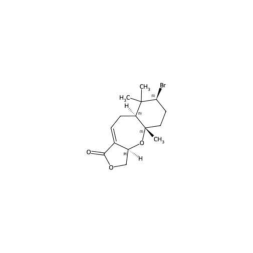 CC1(C)[C@@H](Br)CC[C@]2(C)O[C@H]3COC(=O)C3=CC[C@@H]12